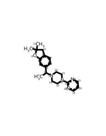 CC(c1ccc2c(c1)OC(C)(C)C2)N1CCN(c2ncccn2)CC1